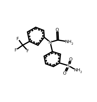 NC(=O)N(c1cccc(C(F)(F)F)c1)c1cccc(S(N)(=O)=O)c1